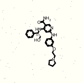 NC(=O)c1cnc(Nc2cccc(OCCN3CCCC3)c2)cc1N[C@H](CO)c1ccccc1